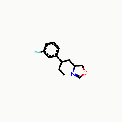 CCC(CC1CO[C]=N1)c1cccc(F)c1